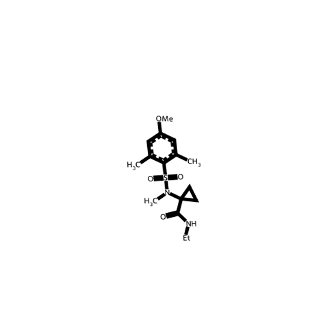 CCNC(=O)C1(N(C)S(=O)(=O)c2c(C)cc(OC)cc2C)CC1